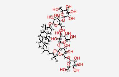 CC(CCC(OC1OC(COC2OC(CO)C(O)C(O)C2O)C(O)C(O)C1OC1OC(CO)C(O)C(O)C1O)C(C)(C)C)C1CCC2(C)C3CC=C4C(CCC(OC5OC(CO)C(OC6OC(CO)C(O)C(O)C6O)C(O)C5O)C4(C)C)C3(C)CCC12C